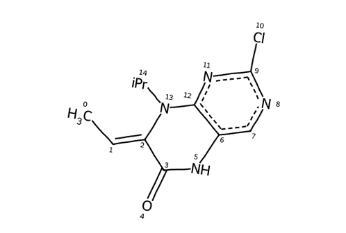 CC=C1C(=O)Nc2cnc(Cl)nc2N1C(C)C